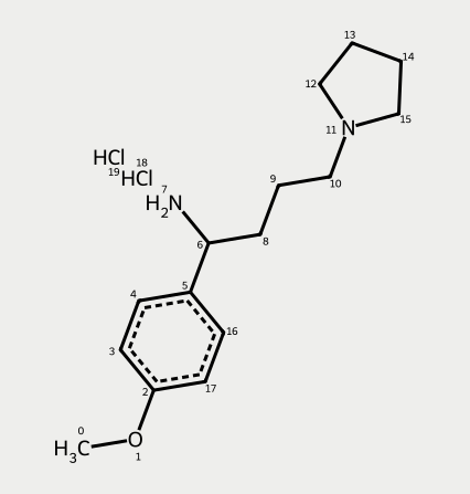 COc1ccc(C(N)CCCN2CCCC2)cc1.Cl.Cl